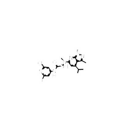 Cc1nn(C)c2nc(N(C)NC(=O)Nc3cc(Cl)nc(I)c3)cc(C(C)C)c12